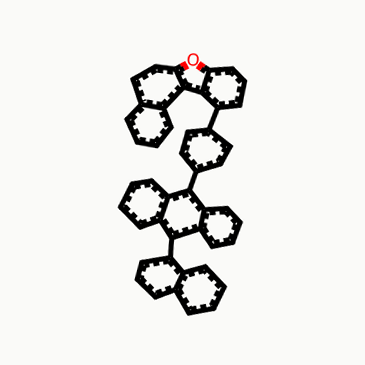 c1ccc2c(-c3c4ccccc4c(-c4ccc(-c5cccc6oc7ccc8ccccc8c7c56)cc4)c4ccccc34)cccc2c1